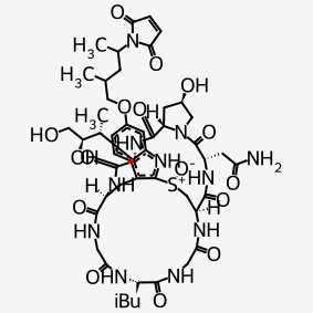 CC[C@H](C)[C@@H]1NC(=O)CNC(=O)[C@@H]2Cc3c([nH]c4cc(OCC(C)CC(C)N5C(=O)C=CC5=O)ccc34)[S+]([O-])C[C@H](NC(=O)CNC1=O)C(=O)N[C@@H](CC(N)=O)C(=O)N1C[C@H](O)C[C@H]1C(=O)N[C@@H]([C@@H](C)[C@@H](O)CO)C(=O)N2